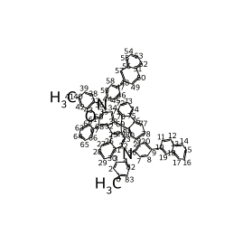 Cc1ccc(N(c2ccc(-c3ccc4ccccc4c3)cc2)c2cc3c(c4ccccc24)-c2c(cc(N(c4ccc(C)cc4)c4ccc(-c5ccc6ccccc6c5)cc4)c4oc5ccccc5c24)C32c3ccccc3-c3ccccc32)cc1